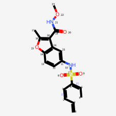 C=C/C=C\C(=C/C)S(=O)(=O)Nc1ccc2oc(C)c(C(=O)NOC)c2c1